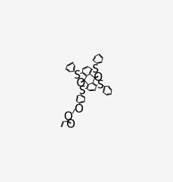 C=CC(=O)OCCOc1ccc(Sc2ccc(Sc3ccccc3)c3c2C(=O)c2c(Sc4ccccc4)ccc(Sc4ccccc4)c2C3=O)cc1